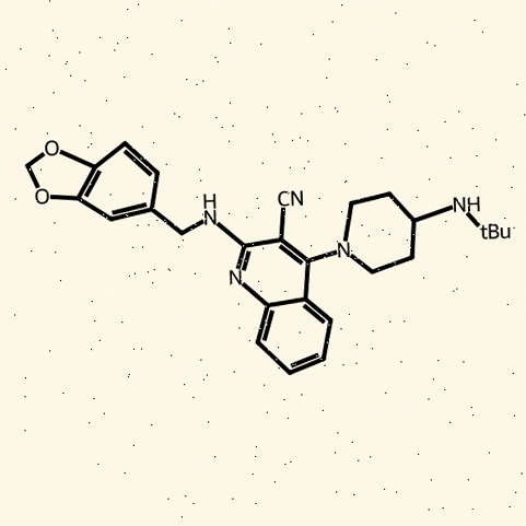 CC(C)(C)NC1CCN(c2c(C#N)c(NCc3ccc4c(c3)OCO4)nc3ccccc23)CC1